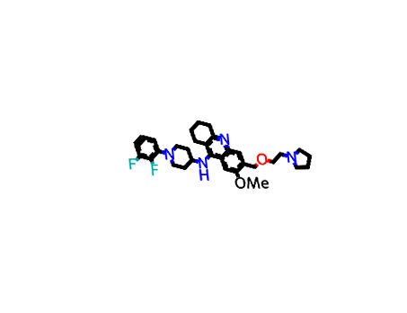 COc1cc2c(NC3CCN(c4cc#cc(F)c4F)CC3)c3c(nc2cc1COCCN1CCCC1)CCCC3